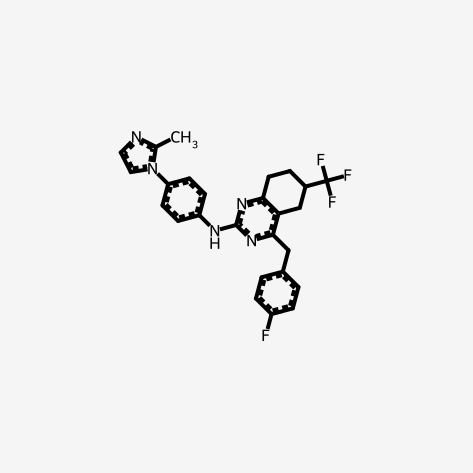 Cc1nccn1-c1ccc(Nc2nc3c(c(Cc4ccc(F)cc4)n2)CC(C(F)(F)F)CC3)cc1